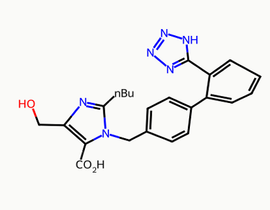 CCCCc1nc(CO)c(C(=O)O)n1Cc1ccc(-c2ccccc2-c2nnn[nH]2)cc1